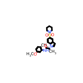 COc1ccc(C)c(NC(=O)C(C)n2ccc3cc(S(=O)(=O)N4CCCCC4)ccc32)c1